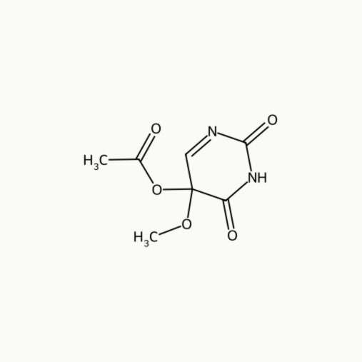 COC1(OC(C)=O)C=NC(=O)NC1=O